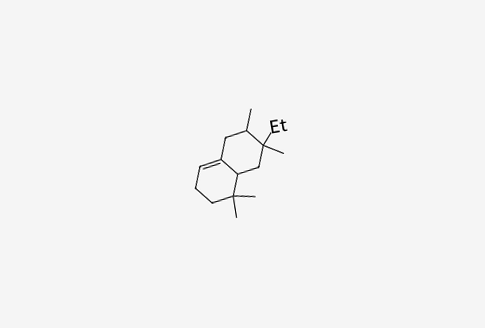 CCC1(C)CC2C(=CCCC2(C)C)CC1C